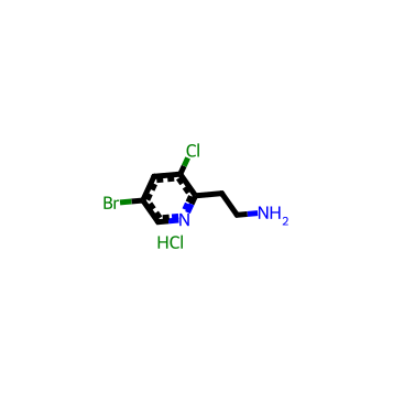 Cl.NCCc1ncc(Br)cc1Cl